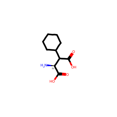 N[C@H](C(=O)O)C(C(=O)O)C1CCCCC1